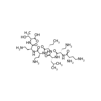 CCC[C@H](NC(=O)[C@@H](CC(C)C)NC(=O)[C@H](CCN)NC(=O)[C@@H](N)CCN)C(=O)N[C@@H](CCN)C(=O)N[C@@H](CCN)C(=O)N[C@H](C(=O)O)[C@@H](C)O